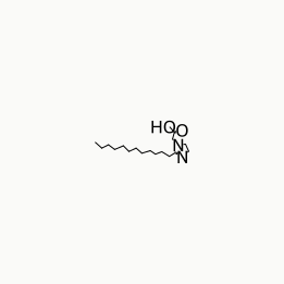 CCCCCCCCCCCCC1=NCCN1CC(=O)O